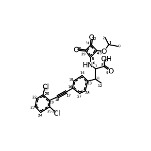 CC(C)Oc1c(NC(C(=O)O)C(C)c2ccc(C#Cc3c(Cl)cccc3Cl)cc2)c(=O)c1=O